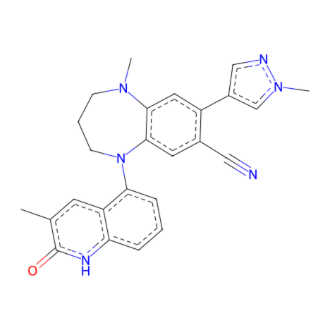 Cc1cc2c(N3CCCN(C)c4cc(-c5cnn(C)c5)c(C#N)cc43)cccc2[nH]c1=O